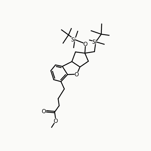 COC(=O)CCCc1cccc2c1OC1CC(C[Si](C)(C)C(C)(C)C)(O[Si](C)(C)C(C)(C)C)CC21